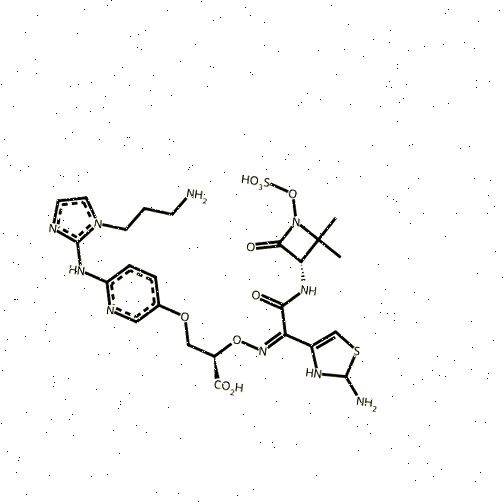 CC1(C)[C@H](NC(=O)/C(=N\O[C@H](COc2ccc(Nc3nccn3CCCN)nc2)C(=O)O)C2=CSC(N)N2)C(=O)N1OS(=O)(=O)O